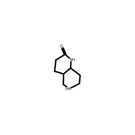 O=C1CCC2CNCCC2N1